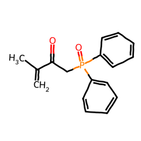 C=C(C)C(=O)CP(=O)(c1ccccc1)c1ccccc1